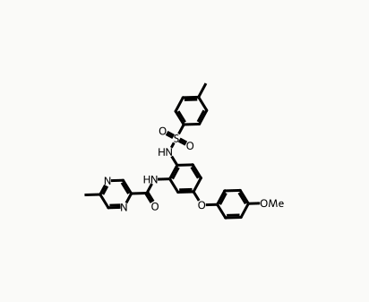 COc1ccc(Oc2ccc(NS(=O)(=O)c3ccc(C)cc3)c(NC(=O)c3cnc(C)cn3)c2)cc1